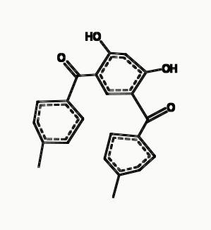 Cc1ccc(C(=O)c2cc(C(=O)c3ccc(C)cc3)c(O)cc2O)cc1